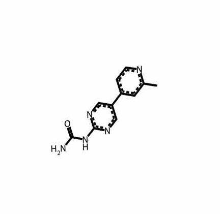 Cc1cc(-c2cnc(NC(N)=O)nc2)ccn1